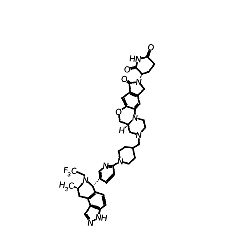 C[C@@H]1Cc2c(ccc3[nH]ncc23)[C@@H](c2ccc(N3CCC(CN4CCN5c6cc7c(cc6OC[C@@H]5C4)C(=O)N([C@H]4CCC(=O)NC4=O)C7)CC3)nc2)N1CC(F)(F)F